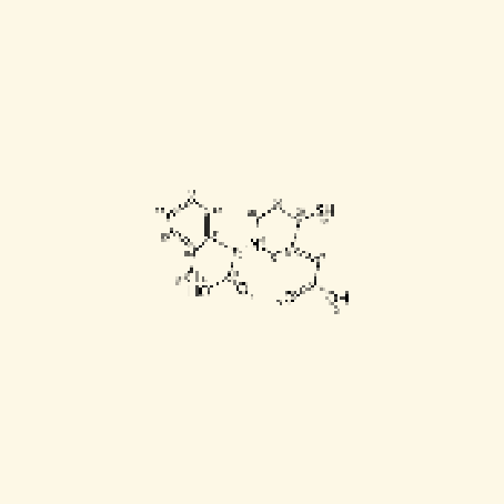 O=C(O)/C=C1\CN([C@H](C(=O)O)c2ccccc2Cl)CCC1S